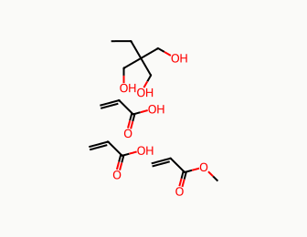 C=CC(=O)O.C=CC(=O)O.C=CC(=O)OC.CCC(CO)(CO)CO